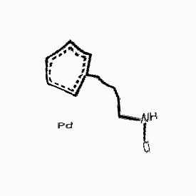 ClNCCc1ccccc1.[Pd]